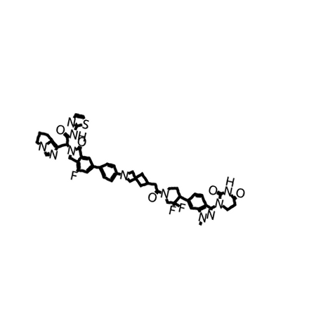 Cn1nc(N2CCC(=O)NC2=O)c2ccc(C3CCN(C(=O)CC4CC5(C4)CN(c4ccc(-c6cc(F)c7c(c6)C(=O)N(C(C(=O)Nc6nccs6)c6ncn8c6CCC8)C7)cc4)C5)CC3(F)F)cc21